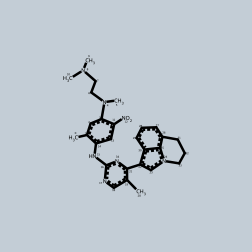 Cc1cc(N(C)CCN(C)C)c([N+](=O)[O-])cc1Nc1ncc(C)c(-c2cn3c4c(cccc24)CCC3)n1